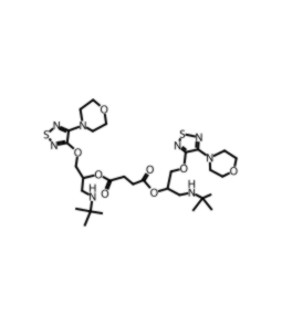 CC(C)(C)NCC(COc1nsnc1N1CCOCC1)OC(=O)CCC(=O)OC(CNC(C)(C)C)COc1nsnc1N1CCOCC1